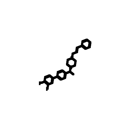 CC(c1ccc(-c2ccc(F)c(F)c2)cc1)N1CCN(C/C=C/c2ccccc2)CC1